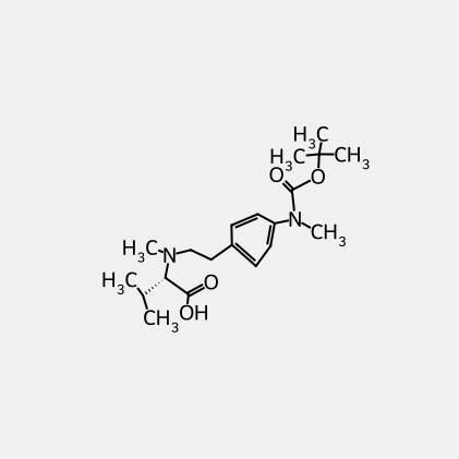 CC(C)[C@@H](C(=O)O)N(C)CCc1ccc(N(C)C(=O)OC(C)(C)C)cc1